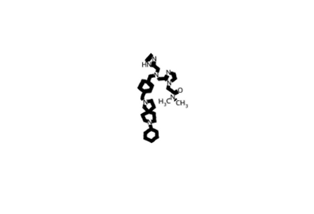 CN(C)C(=O)Cn1ccnc1CN(Cc1ccc(CN2CCC3(CCN(C4CCCCC4)CC3)C2)cc1)Cc1ncc[nH]1